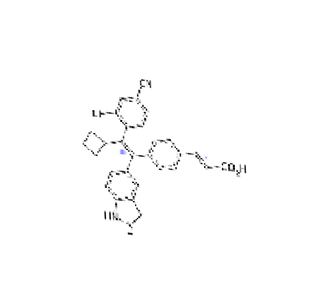 N#Cc1ccc(/C(=C(\c2ccc(/C=C/C(=O)O)cc2)c2ccc3c(c2)CNN3)C2CCC2)c(Cl)c1